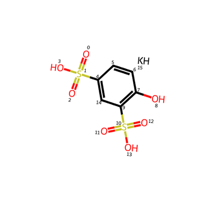 O=S(=O)(O)c1ccc(O)c(S(=O)(=O)O)c1.[KH]